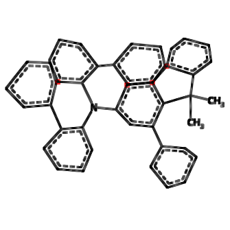 CC1(C)c2ccccc2-c2cc(N(c3ccccc3-c3ccccc3)c3ccccc3-c3ccccc3)cc(-c3ccccc3)c21